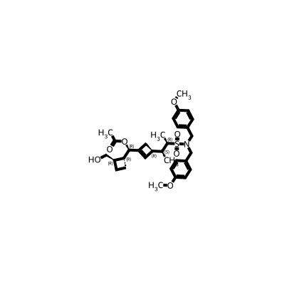 COc1ccc(CN(Cc2ccc(OC)cc2)S(=O)(=O)[C@H](C)[C@@H](C)[C@H]2C=C([C@H](OC(C)=O)[C@@H]3CC[C@H]3CO)C2)cc1